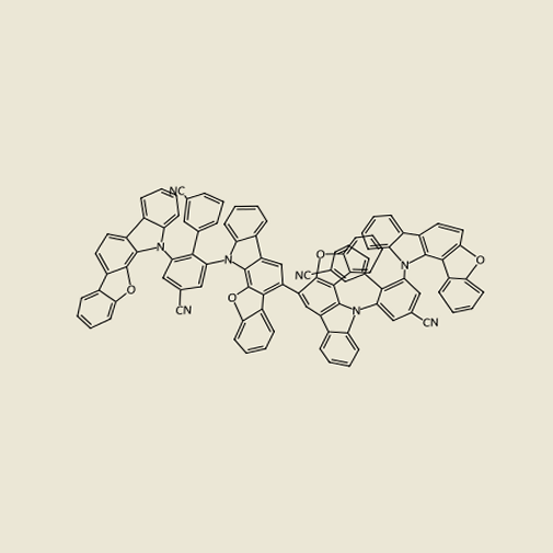 N#Cc1cccc(-c2c(-n3c4ccccc4c4ccc5c6ccccc6oc5c43)cc(C#N)cc2-n2c3ccccc3c3cc(-c4cc5c6ccccc6n(-c6cc(C#N)cc(-n7c8ccccc8c8ccc9oc%10ccccc%10c9c87)c6-c6cccc(C#N)c6)c5c5c4oc4ccccc45)c4c5ccccc5oc4c32)c1